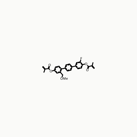 C=C(C)C(=O)Oc1ccc(-c2ccc(-c3ccc(OC(=O)C(=C)C)c(F)c3)cc2)c(COC)c1